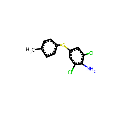 Cc1ccc(Sc2cc(Cl)c(N)c(Cl)c2)cc1